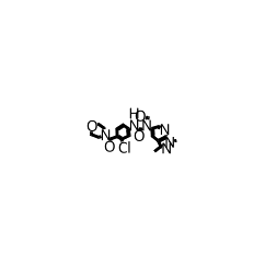 Cc1nn(C)c2ncc(N(C=O)C(=O)Nc3ccc(C(=O)N4CCOCC4)c(Cl)c3)cc12